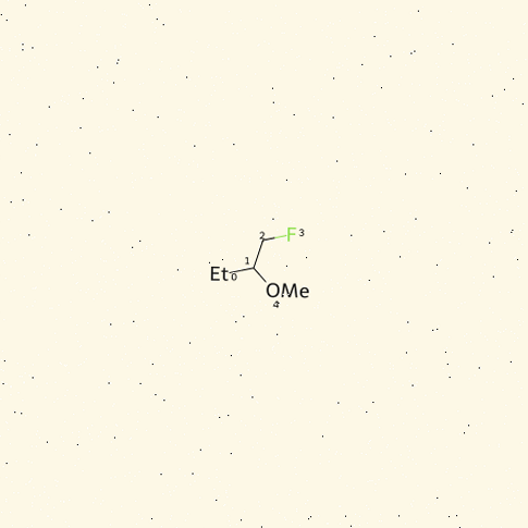 CCC(CF)OC